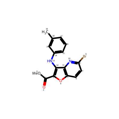 COC(=O)c1oc2ccc(Br)nc2c1Nc1cccc(C)c1